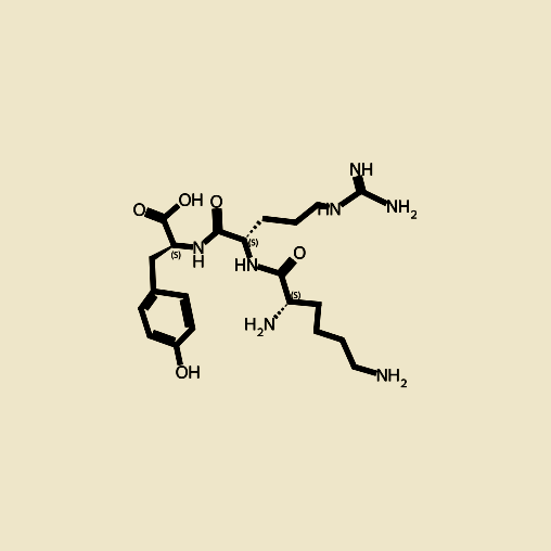 N=C(N)NCCC[C@H](NC(=O)[C@@H](N)CCCCN)C(=O)N[C@@H](Cc1ccc(O)cc1)C(=O)O